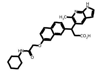 Cc1nc2[nH]ccc2cc1C(CC(=O)O)c1ccc2ccc(OCC(=O)NC3CCCCC3)cc2c1